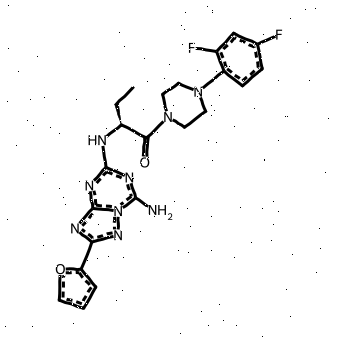 CC[C@H](Nc1nc(N)n2nc(-c3ccco3)nc2n1)C(=O)N1CCN(c2ccc(F)cc2F)CC1